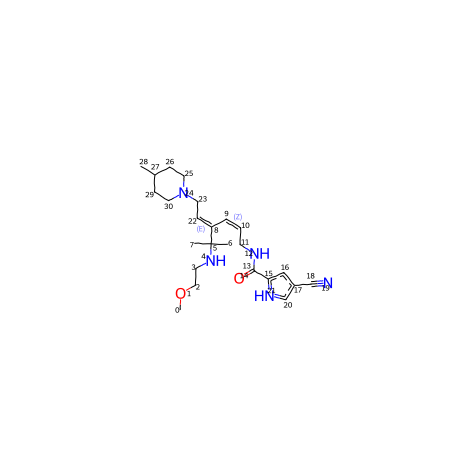 COCCNC(C)(C)C(/C=C\CNC(=O)c1cc(C#N)c[nH]1)=C/CN1CCC(C)CC1